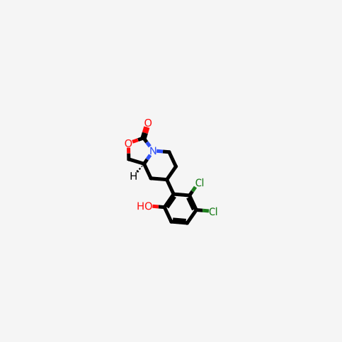 O=C1OC[C@@H]2CC(c3c(O)ccc(Cl)c3Cl)CCN12